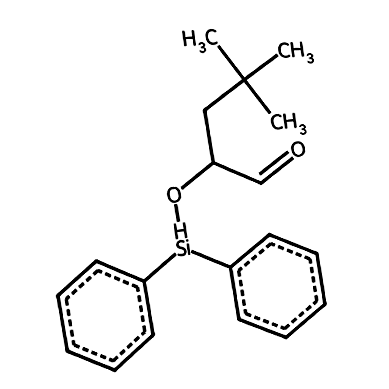 CC(C)(C)CC(C=O)O[SiH](c1ccccc1)c1ccccc1